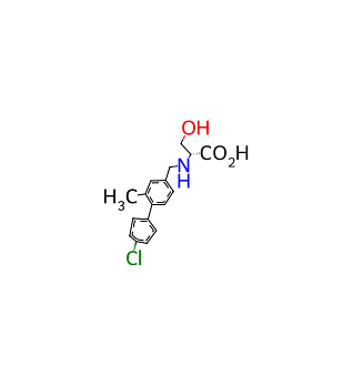 Cc1cc(CN[C@H](CO)C(=O)O)ccc1-c1ccc(Cl)cc1